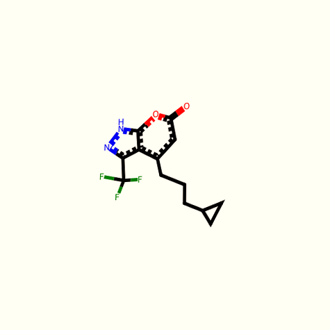 O=c1cc(CCCC2CC2)c2c(C(F)(F)F)n[nH]c2o1